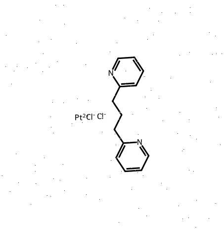 [Cl-].[Cl-].[Pt+2].c1ccc(CCCc2ccccn2)nc1